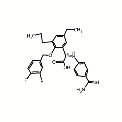 CCCc1cc(CC)cc([C@@H](Nc2ccc(C(=N)N)cc2)C(=O)O)c1OCc1ccc(F)c(F)c1